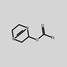 CCC(=O)OC1CN2C=CN1CC2